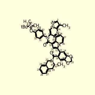 Cc1cnn2cc(N(C(=O)c3cc(-c4cc5c(cc4C(=O)N4Cc6ccccc6C[C@H]4C)OCO5)n4ccccc34)c3ccc(O[Si](C)(C)C(C)(C)C)cc3)cnc12